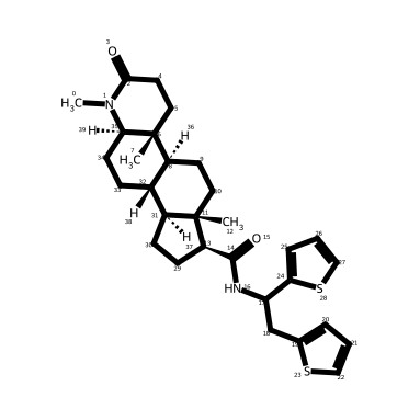 CN1C(=O)CC[C@]2(C)[C@H]3CC[C@]4(C)[C@@H](C(=O)NC(Cc5cccs5)c5cccs5)CC[C@H]4[C@@H]3CC[C@@H]12